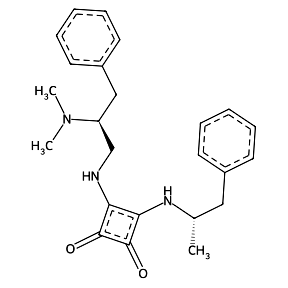 C[C@@H](Cc1ccccc1)Nc1c(NC[C@H](Cc2ccccc2)N(C)C)c(=O)c1=O